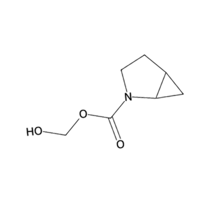 O=C(OCO)N1CCC2CC21